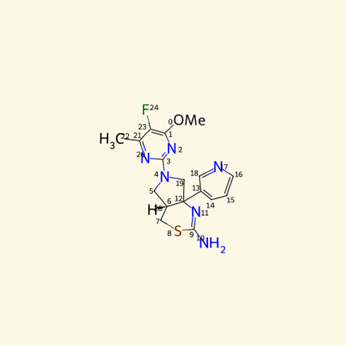 COc1nc(N2C[C@H]3CSC(N)=NC3(c3cccnc3)C2)nc(C)c1F